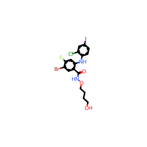 O=C(NOCCCCO)c1cc(Br)c(F)cc1Nc1ccc(I)cc1Cl